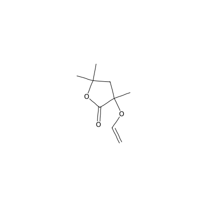 C=COC1(C)CC(C)(C)OC1=O